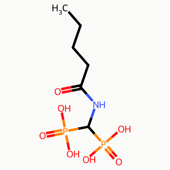 CCCCC(=O)NC(P(=O)(O)O)P(=O)(O)O